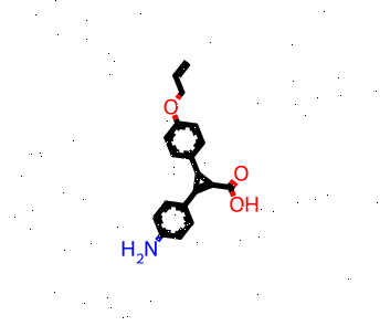 C=CCOc1ccc(C2C(C(=O)O)=C2c2ccc(N)cc2)cc1